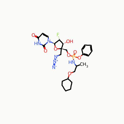 CC(COC1CCCCC1)NP(=O)(OC[C@@]1(CN=[N+]=[N-])O[C@@H](n2ccc(=O)[nH]c2=O)[C@H](F)[C@@H]1O)Oc1ccccc1